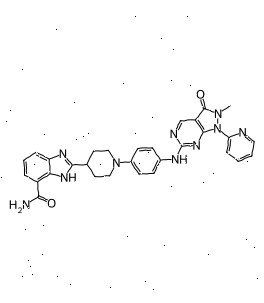 Cn1c(=O)c2cnc(Nc3ccc(N4CCC(c5nc6cccc(C(N)=O)c6[nH]5)CC4)cc3)nc2n1-c1ccccn1